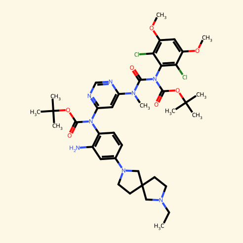 CCN1CCC2(CCN(c3ccc(N(C(=O)OC(C)(C)C)c4cc(N(C)C(=O)N(C(=O)OC(C)(C)C)c5c(Cl)c(OC)cc(OC)c5Cl)ncn4)c(N)c3)C2)C1